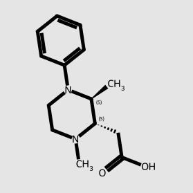 C[C@H]1[C@H](CC(=O)O)N(C)CCN1c1ccccc1